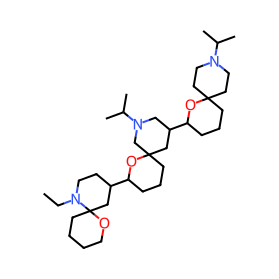 CCN1CCC(C2CCCC3(CC(C4CCCC5(CCN(C(C)C)CC5)O4)CN(C(C)C)C3)O2)CC12CCCCO2